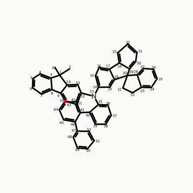 CC1(C)c2ccccc2-c2ccc(N(c3ccc4c(c3)C3(CCc5ccccc53)c3ccccc3-4)c3ccccc3-c3ccccc3-c3ccccc3)cc21